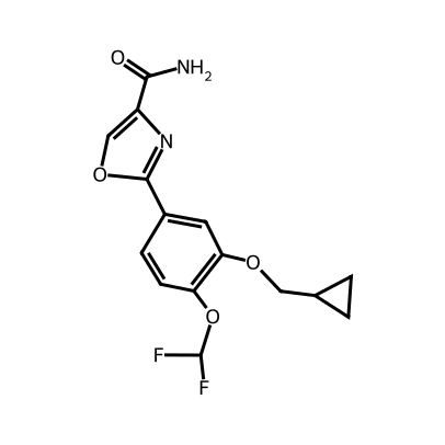 NC(=O)c1coc(-c2ccc(OC(F)F)c(OCC3CC3)c2)n1